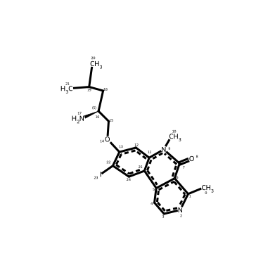 Cc1nccc2c1c(=O)n(C)c1cc(OC[C@@H](N)CC(C)C)c(I)cc21